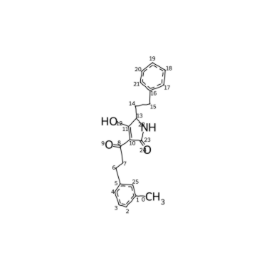 Cc1cccc(CCC(=O)C2=C(O)C(CCc3ccccc3)NC2=O)c1